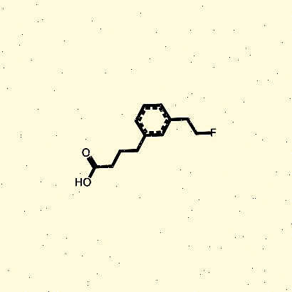 O=C(O)CCCc1cccc(CCF)c1